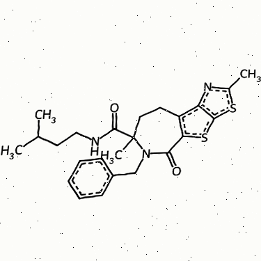 Cc1nc2c3c(sc2s1)C(=O)N(Cc1ccccc1)C(C)(C(=O)NCCC(C)C)CC3